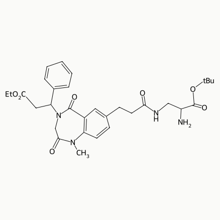 CCOC(=O)CC(c1ccccc1)N1CC(=O)N(C)c2ccc(CCC(=O)NCC(N)C(=O)OC(C)(C)C)cc2C1=O